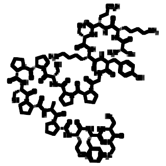 CC[C@H](C)[C@H](N)C(=O)N[C@@H](CCCCN)C(=O)N[C@@H](CCC(=O)O)C(=O)N[C@@H](CO)C(=O)N[C@@H](CCCCN)C(=O)N[C@@H](Cc1ccc(O)cc1)C(=O)NCC(=O)N1CCC[C@H]1C(=O)N1CCC[C@H]1C(=O)N[C@@H](CS)C(=O)N1CCC[C@H]1C(=O)N1CCC[C@H]1C(=O)N[C@@H](CS)C(=O)N1CCC[C@H]1C(=O)N[C@@H](C)C(=O)N1CCC[C@H]1C(=O)N[C@@H](CCC(=O)O)C(=O)N[C@@H](Cc1ccccc1)C(=O)N[C@@H](CC(C)C)C(=O)NCC(=O)O